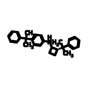 CC(C)(c1ccccc1)c1ccc(NC2CC[C@H]2C(C)(C)c2ccccc2)cc1